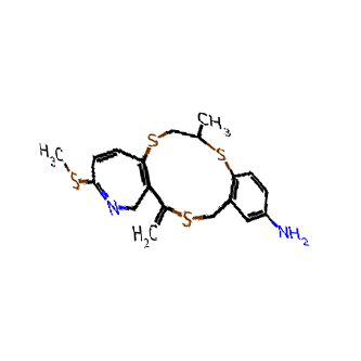 C=C1SCc2cc(N)ccc2SC(C)CSC2=C1CN=C(SC)C=C2